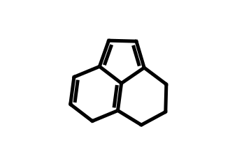 C1=CC2=CC=C3CCCC(=C23)C1